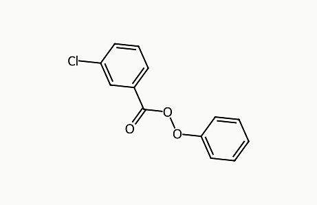 O=C(OOc1ccccc1)c1cccc(Cl)c1